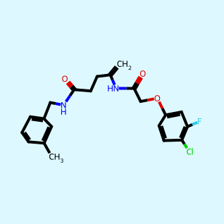 C=C(CCC(=O)NCc1cccc(C)c1)NC(=O)COc1ccc(Cl)c(F)c1